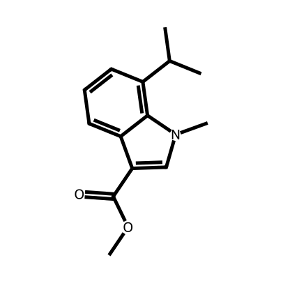 COC(=O)c1cn(C)c2c(C(C)C)cccc12